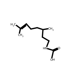 CC(C)=CCCC(C)CCNC(=O)O